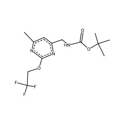 Cc1cc(CNC(=O)OC(C)(C)C)nc(OCC(F)(F)F)n1